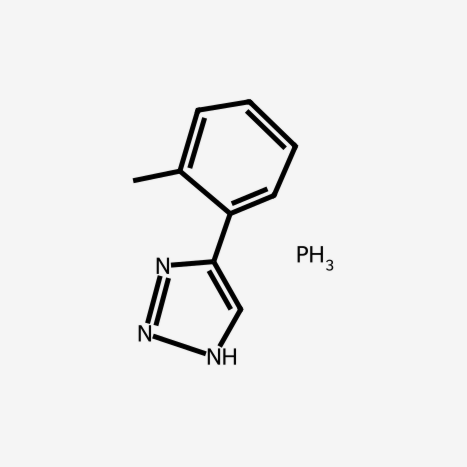 Cc1ccccc1-c1c[nH]nn1.P